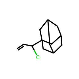 C=CC(Cl)C12CC3CC(CC(C3)C1)C2